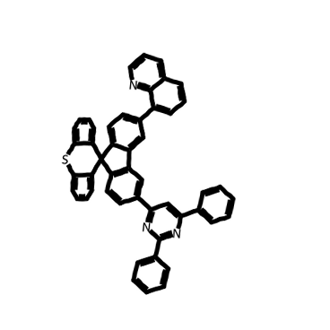 c1ccc(-c2cc(-c3ccc4c(c3)-c3cc(-c5cccc6cccnc56)ccc3C43c4ccccc4Sc4ccccc43)nc(-c3ccccc3)n2)cc1